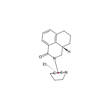 CC[C@@]1(N2C[C@H]3CCCc4cccc(c43)C2=O)CN2CCC1CC2